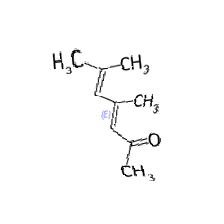 CC(=O)/C=C(\C)C=C(C)C